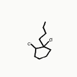 CCCCC1(Cl)CCCCC1Cl